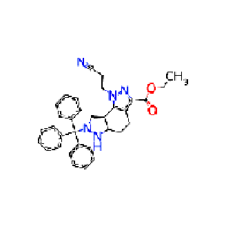 CCOC(=O)c1nn(CCC#N)c2c1CCC1NN(C(c3ccccc3)(c3ccccc3)c3ccccc3)C=C21